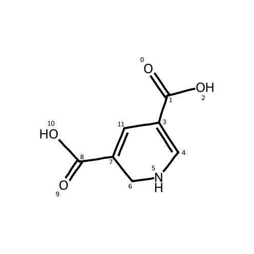 O=C(O)C1=CNCC(C(=O)O)=C1